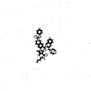 CCCCN(C)C(=O)c1cn(-c2cc3c(cc2C(=O)N2Cc4ccccc4C[C@H]2CN2CCOCC2)CN(C(=O)Oc2ccccc2)CC3)c(C)c1C